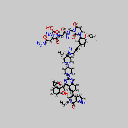 COc1ccc(C#CCNC2(C)CCN(C3CCN(c4nc(C(CO)(OC5CC5)c5ccccc5)c5cc(-c6cn(C)c(=O)c7[nH]ccc67)ccc5n4)CC3)CC2)cc1N1CCC(=O)N(CNC(=O)CNC(=O)C(CC(N)=O)NC(=O)O)C1=O